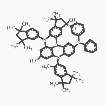 Cc1cc2c3c(c1)N(c1cc4c(cc1C)C(C)(C)CC4(C)C)c1ccc(N(c4ccccc4)c4ccccc4)cc1B3c1cc3c(cc1N2c1ccc2c(c1)C(C)(C)CC2(C)C)C(C)(C)CC3(C)C